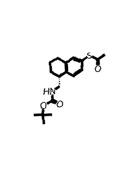 CC(=O)Sc1ccc2c(c1)CCC[C@H]2CNC(=O)OC(C)(C)C